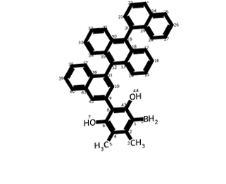 Bc1c(C)c(C)c(O)c(-c2cc(-c3c4ccccc4c(-c4cccc5ccccc45)c4ccccc34)c3ccccc3c2)c1O